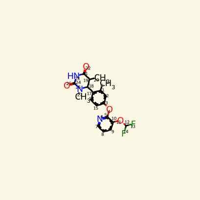 Cc1cc(Oc2ncccc2OC(F)F)ccc1C1C(C)C(=O)NC(=O)N1C